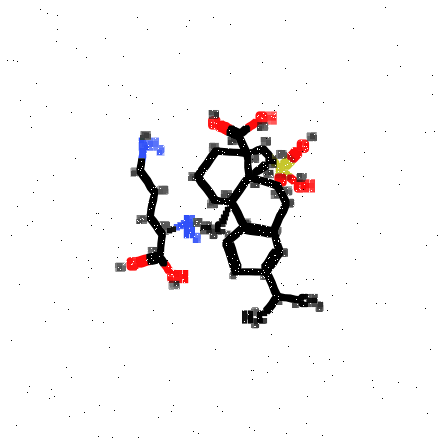 CC(C)c1ccc2c(c1)CC[C@H]1[C@@](CS(=O)(=O)O)(C(=O)O)CCC[C@]21C.NCCC[C@H](N)C(=O)O